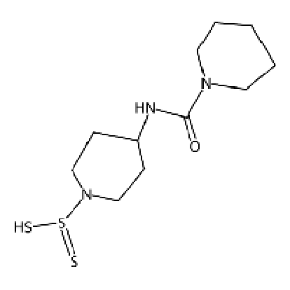 O=C(NC1CCN(S(=S)S)CC1)N1CCCCC1